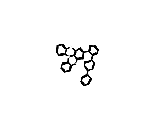 c1ccc(-c2ccc(-c3ccccc3-c3cc4c5c(c3)Oc3ccccc3N5c3ccccc3O4)cc2)cc1